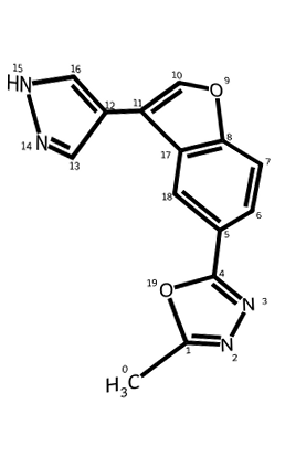 Cc1nnc(-c2ccc3occ(-c4cn[nH]c4)c3c2)o1